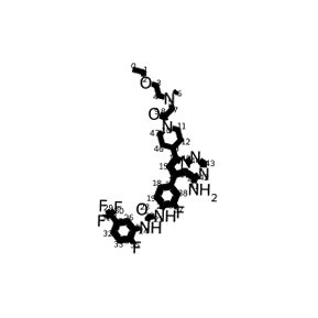 CCOCCN(C)CC(=O)N1CCC(c2cc(-c3ccc(NC(=O)Nc4cc(C(F)(F)F)ccc4F)c(F)c3)c3c(N)ncnn23)CC1